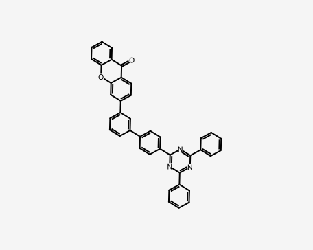 O=c1c2ccccc2oc2cc(-c3cccc(-c4ccc(-c5nc(-c6ccccc6)nc(-c6ccccc6)n5)cc4)c3)ccc12